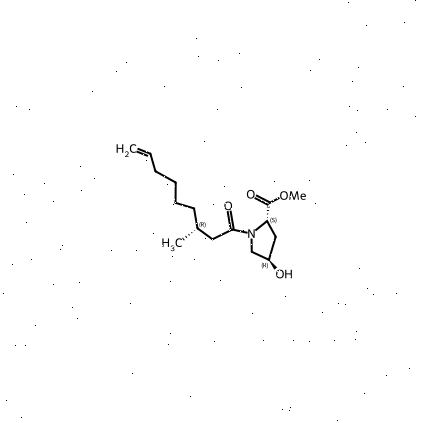 C=CCCCC[C@@H](C)CC(=O)N1C[C@H](O)C[C@H]1C(=O)OC